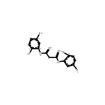 O=C(CC(=O)Oc1cc(F)ccc1F)Oc1cc(F)ccc1F